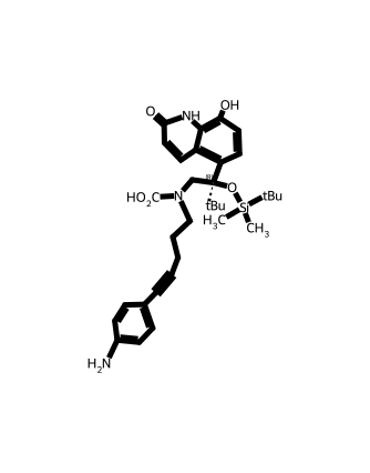 CC(C)(C)[C@@](CN(CCCC#Cc1ccc(N)cc1)C(=O)O)(O[Si](C)(C)C(C)(C)C)c1ccc(O)c2[nH]c(=O)ccc12